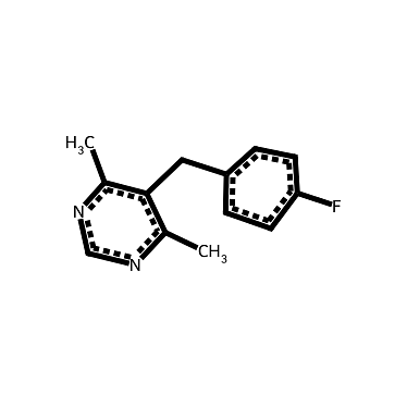 Cc1ncnc(C)c1Cc1ccc(F)cc1